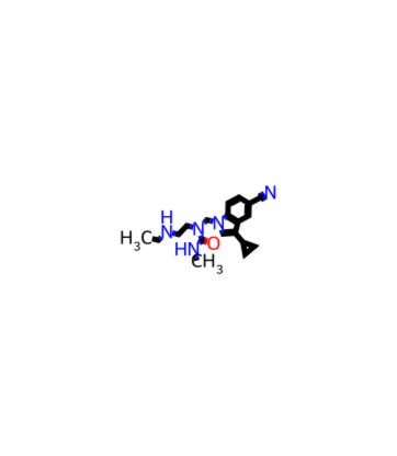 CCNCCN(Cn1cc(C2CC2)c2cc(C#N)ccc21)C(=O)NC